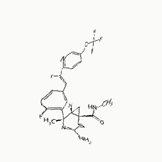 CNC(=O)[C@]12C[C@H]1[C@@](C)(c1cc(/C=C(\F)c3ccc(OC(F)(F)F)cn3)ccc1F)N=C(N)S2